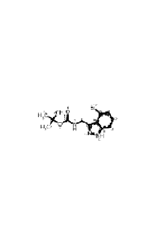 CC(C)(C)OC(=O)NCc1n[nH]c2cccc(Br)c12